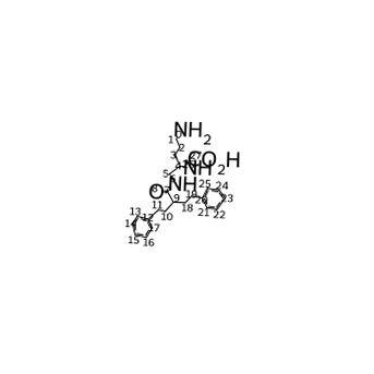 NCCC[C@H](CNC(=O)C(CCc1ccccc1)CCc1ccccc1)NC(=O)O